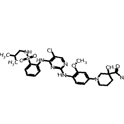 COc1cc(N2CCCC(C)(C(N)=O)C2)ccc1Nc1ncc(Cl)c(Nc2ccccc2S(=O)(=O)NCC(C)C)n1